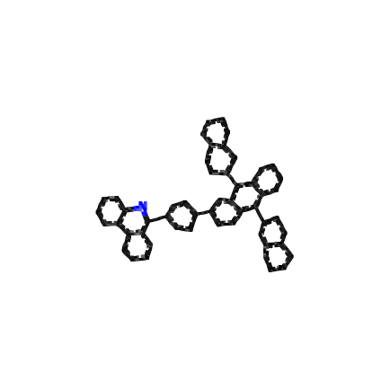 c1ccc2cc(-c3c4ccccc4c(-c4ccc5ccccc5c4)c4cc(-c5ccc(-c6nc7ccccc7c7ccccc67)cc5)ccc34)ccc2c1